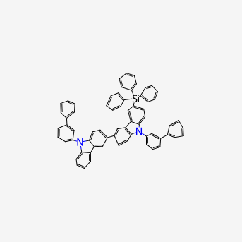 c1ccc(-c2cccc(-n3c4ccccc4c4cc(-c5ccc6c(c5)c5cc([Si](c7ccccc7)(c7ccccc7)c7ccccc7)ccc5n6-c5cccc(-c6ccccc6)c5)ccc43)c2)cc1